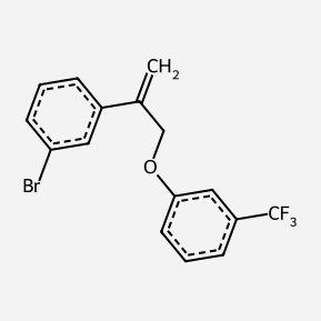 C=C(COc1cccc(C(F)(F)F)c1)c1cccc(Br)c1